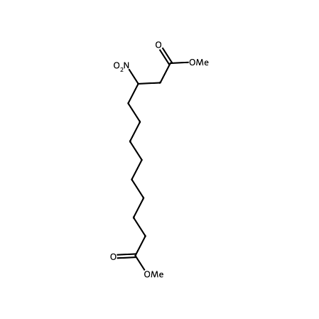 COC(=O)CCCCCCCCC(CC(=O)OC)[N+](=O)[O-]